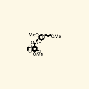 COCCCN1CC[C@@H](CNC(=O)c2cc(Cl)c(OC)c3c2OCCO3)C(OC)C1